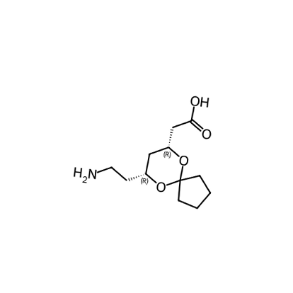 NCC[C@@H]1C[C@H](CC(=O)O)OC2(CCCC2)O1